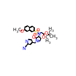 COc1ccc2ccc(S(=O)(=O)N(CC(=O)OC(C)(C)C)[C@H]3CCN(Cc4ccnc(C#N)c4)C3=O)cc2c1